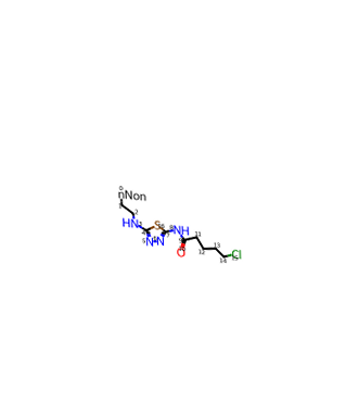 CCCCCCCCCCCNc1nnc(NC(=O)CCCCCl)s1